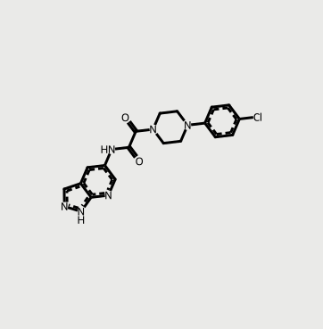 O=C(Nc1cnc2[nH]ncc2c1)C(=O)N1CCN(c2ccc(Cl)cc2)CC1